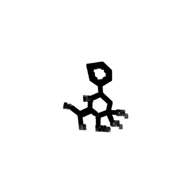 CC/C(C(C)=O)=C1/NC(c2ccccc2)CC(C)(C)N1NC